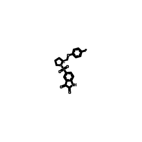 O=C1Nc2ccc(S(=O)(=O)N3CCC[C@H]3COc3ccc(F)cc3)cc2C1=O